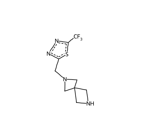 FC(F)(F)c1nnc(CN2CC3(CNC3)C2)s1